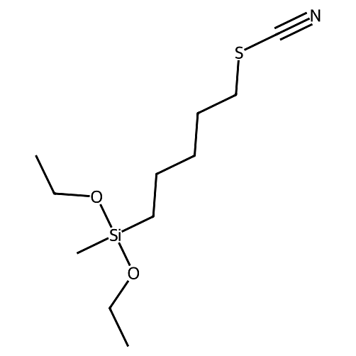 CCO[Si](C)(CCCCCSC#N)OCC